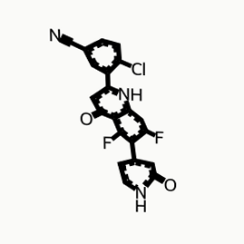 N#Cc1ccc(Cl)c(-c2cc(=O)c3c(F)c(-c4cc[nH]c(=O)c4)c(F)cc3[nH]2)c1